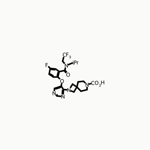 CC(C)N(CC(F)(F)F)C(=O)c1cc(F)ccc1Oc1cncnc1N1CC2(CCN(C(=O)O)CC2)C1